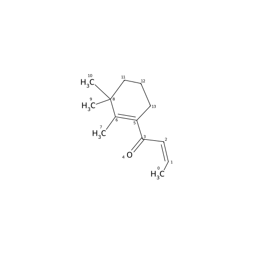 C/C=C\C(=O)C1=C(C)C(C)(C)CCC1